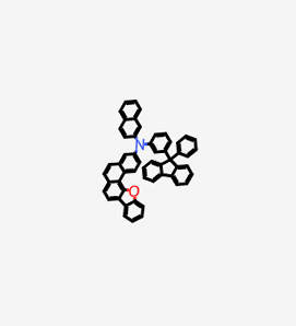 c1ccc(C2(c3cccc(N(c4ccc5ccccc5c4)c4ccc5c(ccc6ccc7c8ccccc8oc7c65)c4)c3)c3ccccc3-c3ccccc32)cc1